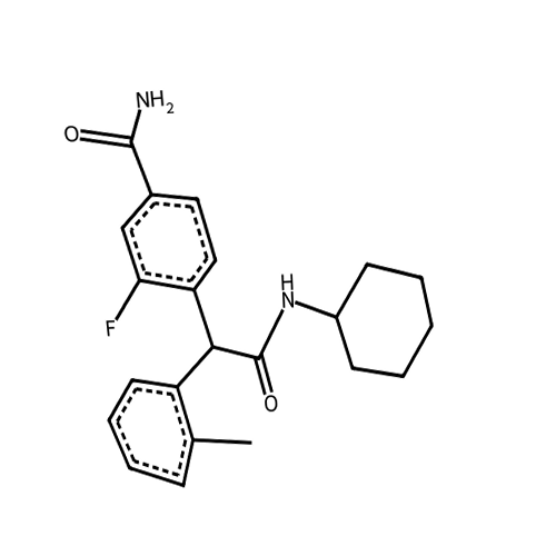 Cc1ccccc1C(C(=O)NC1CCCCC1)c1ccc(C(N)=O)cc1F